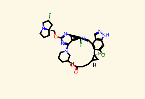 O=C1CC[C@@H]2C[C@@H]2c2c(Cl)cc3[nH]ncc3c2-c2ncc3c(nc(OC[C@@]45CCCN4C[C@H](F)C5)nc3c2F)N2CCC[C@H](C2)O1